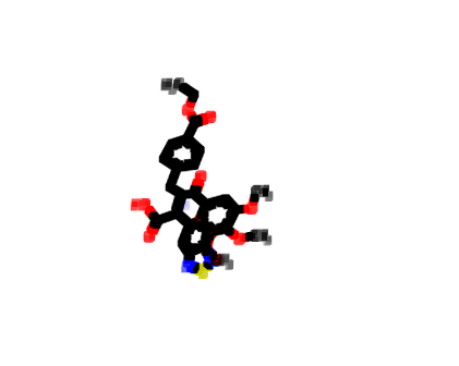 CCOC(=O)c1ccc(C/C(C(=O)c2cc(OC)c(OC)c(OC)c2)=C(\C(=O)O)c2ccc3nsnc3c2)cc1